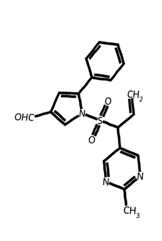 C=CC(c1cnc(C)nc1)S(=O)(=O)n1cc(C=O)cc1-c1ccccc1